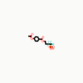 CC(=O)OC1CCC(C(=O)OCCC(F)(F)C(F)(F)S(=O)(=O)O)CC1